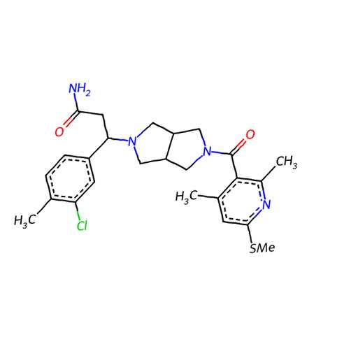 CSc1cc(C)c(C(=O)N2CC3CN(C(CC(N)=O)c4ccc(C)c(Cl)c4)CC3C2)c(C)n1